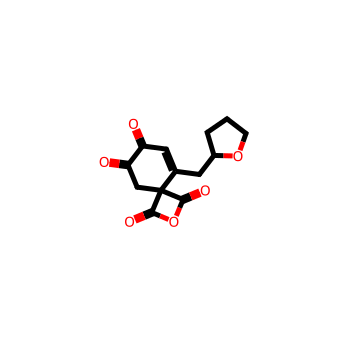 O=C1C=C(CC2CCCO2)C2(CC1=O)C(=O)OC2=O